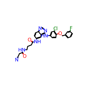 N#CCC(=O)NCCCC(=O)Nc1ccc2ncnc(Nc3ccc(OCc4cccc(F)c4)c(Cl)c3)c2c1